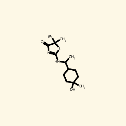 CC(NC1=NC(=O)C(C)(C(C)C)S1)C1CCC(C)(O)CC1